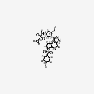 CC[C@@H]1C[C@H](N(C)S(=O)(=O)C2CC2)C[C@@H]1c1nnc2cnc3c(ccn3S(=O)(=O)c3ccc(C)cc3)n12